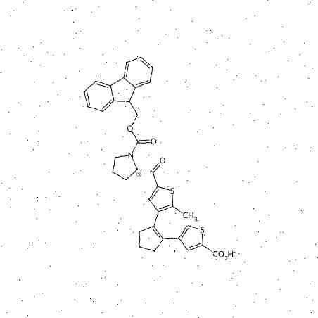 Cc1sc(C(=O)[C@@H]2CCCN2C(=O)OCC2c3ccccc3-c3ccccc32)cc1C1=C(c2csc(C(=O)O)c2)CCC1